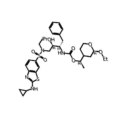 CCO[C@H]1CC([C@@H](C)OC(=O)N[C@@H](Cc2ccccc2)[C@H](O)CN(CC(C)C)S(=O)(=O)c2ccc3nc(NC4CC4)sc3c2)CCO1